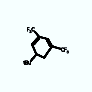 CC(C)(C)C1C=C(C(F)(F)F)C=C(C(F)(F)F)C1